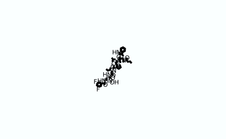 CCCC(=O)N(C)[C@@H](Cc1c[nH]c2ccccc12)C(=O)N(C)[C@@H](CC(C)C)C(=O)N1CCC[C@H]1C(=O)N(C)[C@H](C(=O)N[C@@H](CCNC(=O)c1cc(F)cc(F)c1)C(=O)NO)C(C)CC